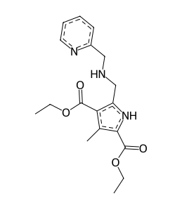 CCOC(=O)c1[nH]c(CNCc2ccccn2)c(C(=O)OCC)c1C